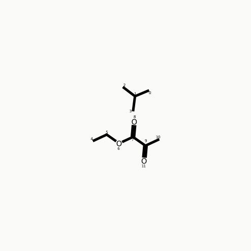 CC(C)C.CCOC(=O)C(C)=O